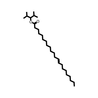 CCCCCCCC/C=C/CCCCCCCCCCCC(=O)OC(C(C)C)C(C)C